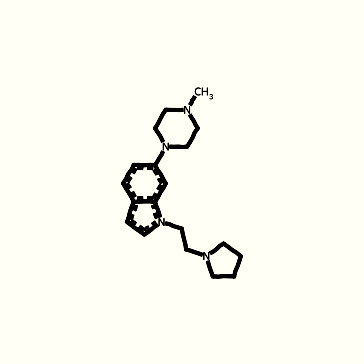 CN1CCN(c2ccc3ccn(CCN4CCCC4)c3c2)CC1